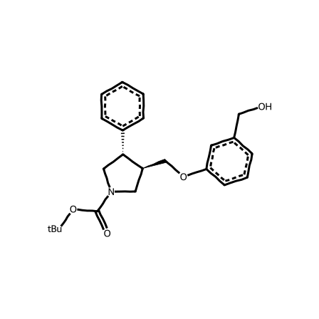 CC(C)(C)OC(=O)N1C[C@H](COc2cccc(CO)c2)[C@@H](c2ccccc2)C1